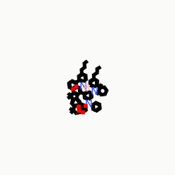 CCCCc1ccc(N2B3c4cc(CCCC)cc5c4N(c4cc(N(c6ccccc6)c6ccccc6)cc(c43)-c3c2ccc2c3-c3cc4c(cc3C2(C)C)C(C)(C)CCC4(C)C)C2(C)CCCCC52C)c(-c2ccccc2)c1